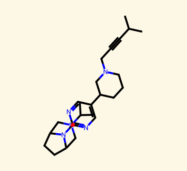 CC(C)C#CCN1CCCC(c2cnc(N3C4CCC3CN(C(C)C)C4)nc2)C1